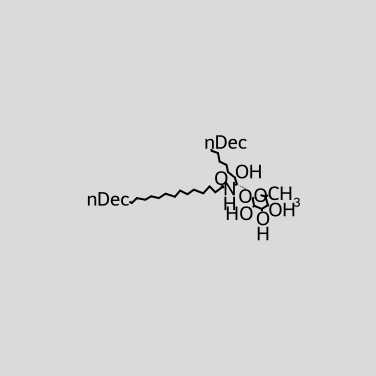 CCCCCCCCCCCCCCCCCCCCCCCC(=O)N[C@@H](COC1OC(C)C(O)C(O)C1O)C(O)CCCCCCCCCCCCCCC